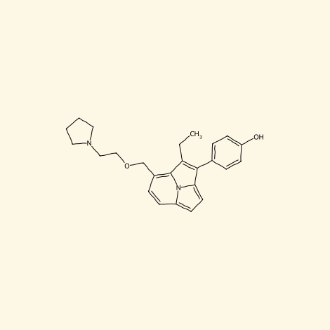 CCc1c(-c2ccc(O)cc2)c2ccc3ccc(COCCN4CCCC4)c1n32